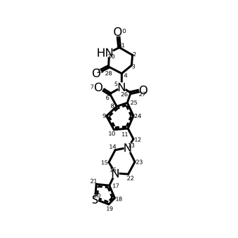 O=C1CCC(N2C(=O)c3ccc(CN4CCN(c5ccsc5)CC4)cc3C2=O)C(=O)N1